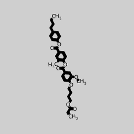 C=CC(=O)OCCCCOc1ccc(C(=O)Oc2ccc(C(=O)Oc3ccc(CCCC)cc3)cc2C)cc1OC